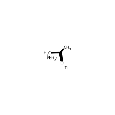 CC(C)=O.[PbH2].[Ti]